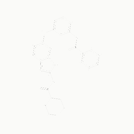 O=C(Nc1cccc(Oc2ccc3nc(NC(=O)C4CCOCC4)cn3n2)c1)c1cccnc1